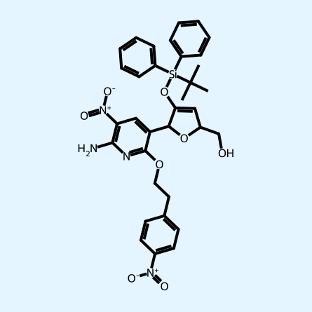 CC(C)(C)[Si](OC1=CC(CO)OC1c1cc([N+](=O)[O-])c(N)nc1OCCc1ccc([N+](=O)[O-])cc1)(c1ccccc1)c1ccccc1